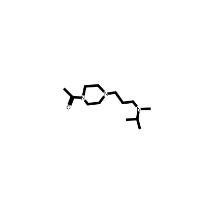 CC(=O)N1CCN(CCCN(C)C(C)C)CC1